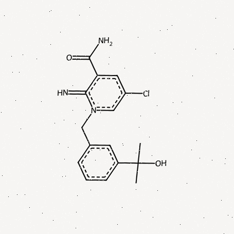 CC(C)(O)c1cccc(Cn2cc(Cl)cc(C(N)=O)c2=N)c1